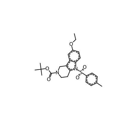 CCOc1ccc2c(c1)c1c(n2S(=O)(=O)c2ccc(C)cc2)CCN(C(=O)OC(C)(C)C)C1